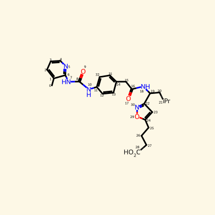 Cc1cccnc1NC(=O)Nc1ccc(CC(=O)NC(CC(C)C)c2cc(CCCC(=O)O)on2)cc1